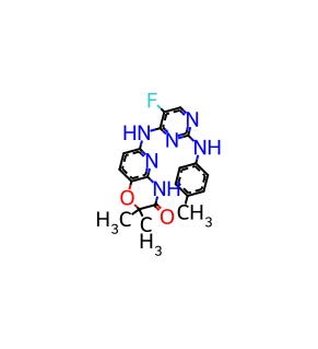 Cc1ccc(Nc2ncc(F)c(Nc3ccc4c(n3)NC(=O)C(C)(C)O4)n2)cc1